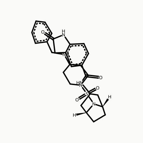 O=C1Cc2cc(C(=O)NC3C[C@H]4CC[C@@H](C3)N4S(=O)(=O)N3CCC(NCc4ccccc4)CC3)ccc2N1